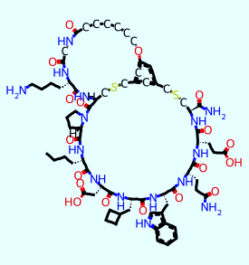 CCCC[C@@H]1NC(=O)[C@@H]2CCCN2C(=O)[C@@H]2CSCc3cc(cc(c3)OCCCCCCC(=O)NCC(=O)N[C@@H](CCCCN)C(=O)N2)CSC[C@@H](C(N)=O)NC(=O)[C@H](CCC(=O)O)NC(=O)[C@H](CCC(N)=O)NC(=O)[C@H](Cc2c[nH]c3ccccc23)NC(=O)[C@H](CC2CCC2)NC(=O)[C@H](CC(=O)O)NC1=O